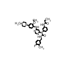 C=CC(=O)Nc1cccc(N(C(=O)NCc2ccc(F)c(C)c2)c2cc(Nc3ccc(N4CCN(C)CC4)cc3OC)ncn2)c1